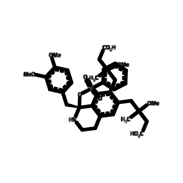 COc1ccc(C[C@]2(OS(=O)(=O)c3ccccc3)NCCc3cc(CC(C)(CC(=O)O)OC)c(CC(C)(CC(=O)O)OC)cc32)cc1OC